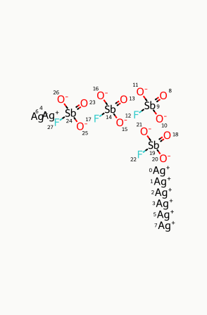 [Ag+].[Ag+].[Ag+].[Ag+].[Ag+].[Ag+].[Ag+].[Ag+].[O]=[Sb]([O-])([O-])[F].[O]=[Sb]([O-])([O-])[F].[O]=[Sb]([O-])([O-])[F].[O]=[Sb]([O-])([O-])[F]